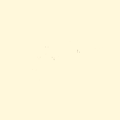 CCOC(=O)C1CN(c2ccc(N3C=CC(=O)CC3)c(F)c2)C(=O)O1